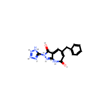 O=c1cc(Cc2ccccc2)cc2c(=O)n(-c3nnn[nH]3)nc-2[nH]1